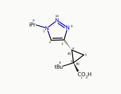 CC(C)n1cc([C@@H]2C[C@]2(C(=O)O)C(C)(C)C)nn1